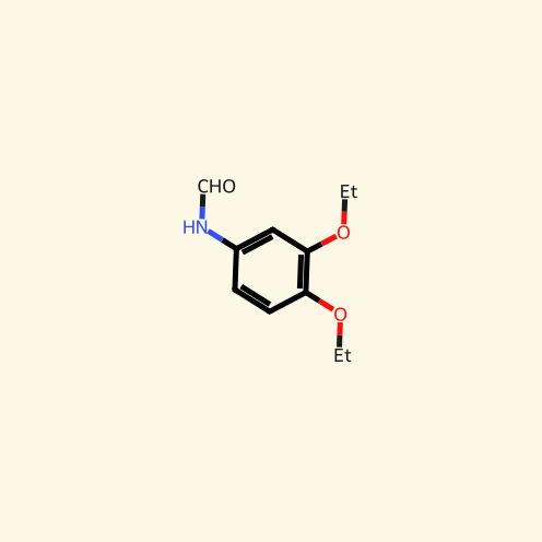 CCOc1ccc(NC=O)cc1OCC